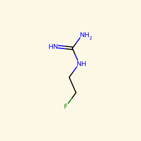 N=C(N)NCCF